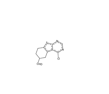 O=CC1CCc2sc3ncnc(Cl)c3c2C1